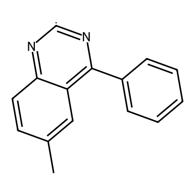 Cc1ccc2n[c]nc(-c3ccccc3)c2c1